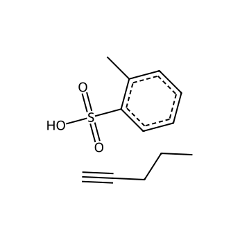 C#CCCC.Cc1ccccc1S(=O)(=O)O